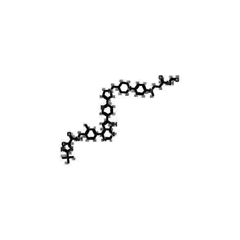 Cc1cc(-c2ncnc3[nH]c(-c4ccc(C5=CCN(CC6CCN(c7ccc(N(C)CCC(=O)NC=O)cc7)CC6)C5)nc4)cc23)ccc1CNC(=O)c1nc(C(C)(C)C)no1